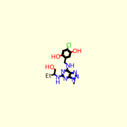 CCC(CO)Nc1nc(NCc2cc(O)c(Cl)cc2O)c2nnn(C)c2n1